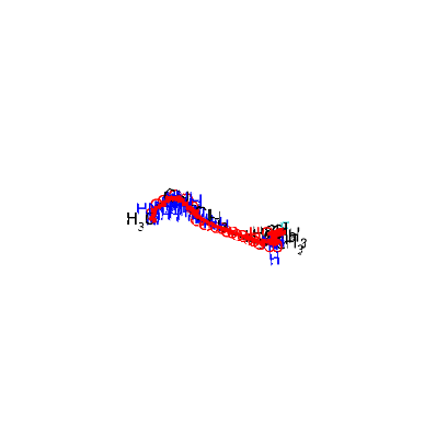 Cc1cc(F)cc(C)c1Oc1ccc(C(C)(C)O)cc1-c1cn(C)c(=O)c2[nH]c(C(=O)Nc3ccc(OCCOCCOCCOCCOCCOCCOCCOCCOCCNC(=O)CCNC(=O)c4nc(NC(=O)CCNC(=O)c5cc(NC(=O)c6nc(NC(=O)CCNC(=O)c7cc(NC(=O)c8nccn8C)c[nH]7)cn6C)c[nH]5)cn4C)cc3)cc12